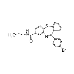 CCCNC(=O)c1ccc2c(c1)N=C(c1ccc(Br)cc1)c1ccccc1S2